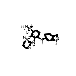 Cc1c(S(N)(=O)=O)ccc(Nc2ccc3cn[nH]c3c2)c1Nc1ncccn1